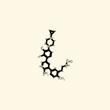 Cc1ccc(-c2cc(-c3ccc(N4CCN(C5CC5)CC4)c(F)c3F)cnc2N)cc1CCNC=O